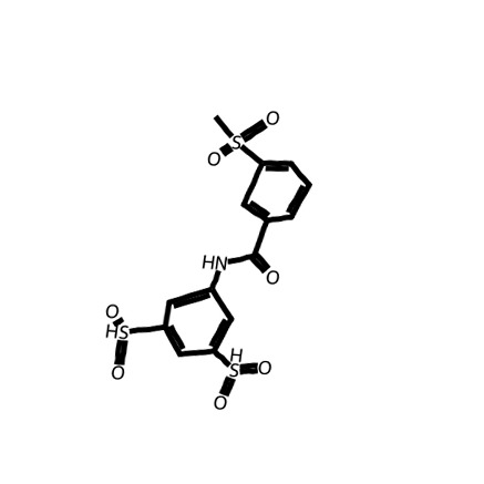 CS(=O)(=O)c1cccc(C(=O)Nc2cc([SH](=O)=O)cc([SH](=O)=O)c2)c1